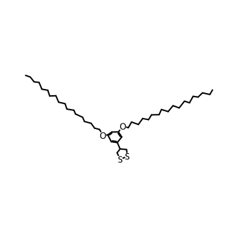 CCCCCCCCCCCCCCCCCCOc1cc(OCCCCCCCCCCCCCCCCCC)cc(C2CSSC2)c1